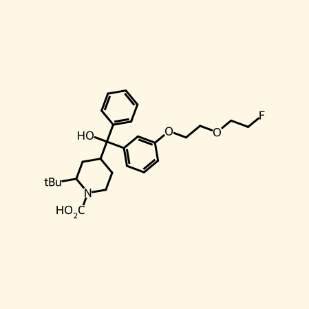 CC(C)(C)C1CC(C(O)(c2ccccc2)c2cccc(OCCOCCF)c2)CCN1C(=O)O